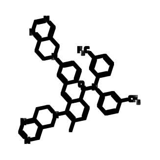 CC1=C(N2CCc3ncncc3C2)C(=Cc2cccc(N3CCc4ncncc4C3)c2)C(C(=O)N(c2cccc(C(F)(F)F)c2)c2cccc(C(F)(F)F)c2)C=C1